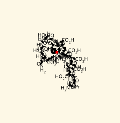 CC[C@H](C)[C@H](NC(=O)[C@H](C)NC(=O)[C@H](CCC(=O)O)NC(=O)[C@H](CCC(=O)O)NC(=O)[C@H](CC(N)=O)NC(=O)[C@H](CCC(=O)O)NC(=O)[C@H](CC(=O)O)NC(=O)[C@H](C)NC(=O)[C@H](CC(C)C)NC(=O)CN)C(=O)N1CCC[C@H]1C(=O)N[C@@H](CCC(=O)O)C(=O)N[C@@H](Cc1ccccc1)C(=O)N[C@@H](CO)C(=O)N[C@@H](CO)C(=O)N[C@@H](C)C(=O)N[C@@H](CO)C(=O)N[C@@H](CS)C(=O)N[C@@H](CCC(N)=O)C(=O)N[C@@H](CCCNC(=N)N)C(=O)O